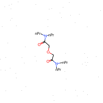 CCCN(CCC)C(=O)COCC(=O)N(CCC)CCC